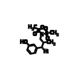 CCC(c1cccc(O)c1)C(C)CN(S(C)(=O)=O)S(C)(=O)=O